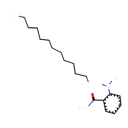 CCCCCCCCCCCCCCCCCCCCCC(=O)O.CN(C)c1ccccc1C(N)=O